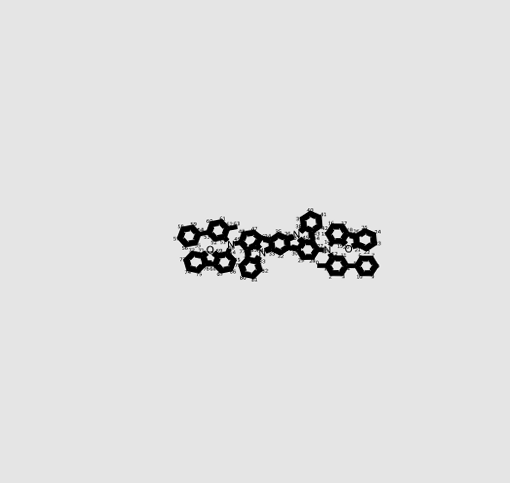 Cc1ccc(-c2ccccc2)cc1N(c1cccc2c1oc1ccccc12)c1ccc2c3cc4c(cc3n3c5ccccc5c1c23)c1ccc(N(c2cc(-c3ccccc3)ccc2C)c2cccc3c2oc2ccccc23)c2c3ccccc3n4c12